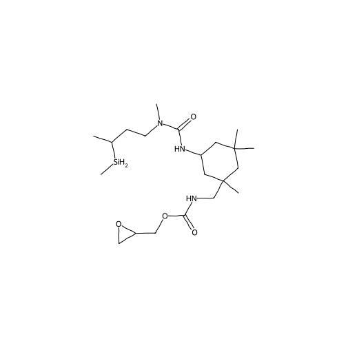 C[SiH2]C(C)CCN(C)C(=O)NC1CC(C)(C)CC(C)(CNC(=O)OCC2CO2)C1